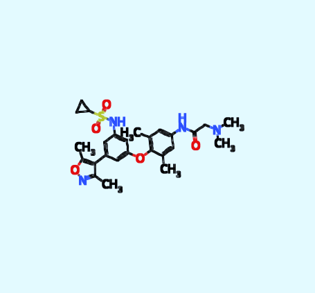 Cc1cc(NC(=O)CN(C)C)cc(C)c1Oc1cc(NS(=O)(=O)C2CC2)cc(-c2c(C)noc2C)c1